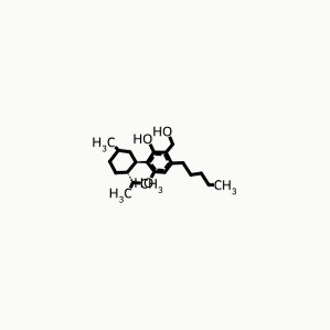 CCCCCc1cc(O)c([C@@H]2CC(C)CC[C@H]2C(C)C)c(O)c1CO